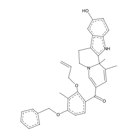 C=CCOc1c(C(=O)C2=CN3CCc4c([nH]c5ccc(O)cc45)C3(C)C(C)=C2)ccc(OCc2ccccc2)c1C